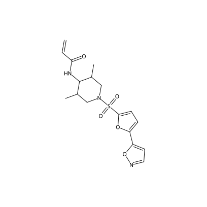 C=CC(=O)NC1C(C)CN(S(=O)(=O)c2ccc(-c3ccno3)o2)CC1C